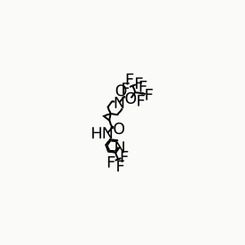 O=C(Nc1ccc(C(F)(F)F)nc1)C1CC12CCN(C(=O)OC(C(F)(F)F)C(F)(F)F)CC2